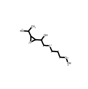 CC(O)C1OC1C(O)CSCCCOO